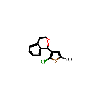 O=Nc1cc(C2OCCc3ccccc32)c(Cl)s1